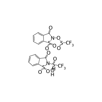 O=C1c2ccccc2S(=O)(=O)N1OS(=O)C(F)(F)F.O=C1c2ccccc2S(=O)(=O)N1[SH](=O)(O)C(F)(F)F